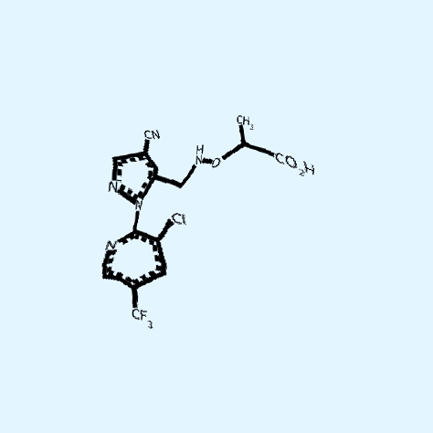 CC(ONCc1c(C#N)cnn1-c1ncc(C(F)(F)F)cc1Cl)C(=O)O